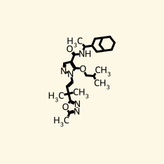 Cc1nnc(C(C)(C)/C=C/n2ncc(C(=O)NC(C)C3CC4CCCC(C4)C3)c2OCC(C)C)o1